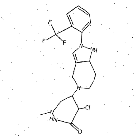 CN1CC(N2CCC3NN(c4ccccc4C(F)(F)F)C=C3C2)C(Cl)C(=O)N1